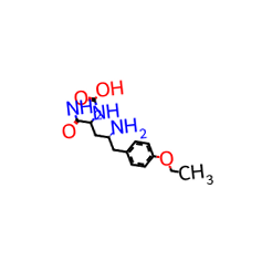 CCOc1ccc(C[C@@H](N)CC(NC(=O)O)C(N)=O)cc1